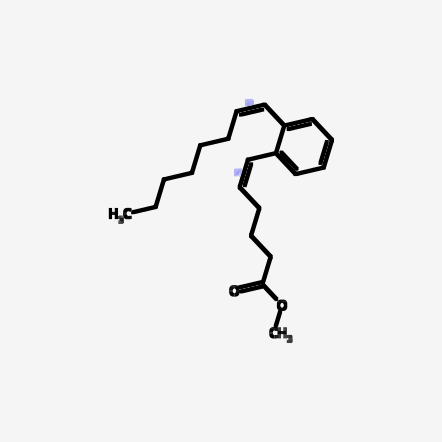 CCCCCC/C=C\c1ccccc1/C=C\CCCC(=O)OC